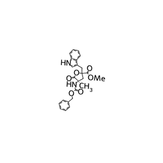 COC(=O)C1(Cc2c[nH]c3ccccc23)C[C@@](C)(NC(=O)OCc2ccccc2)C(=O)O1